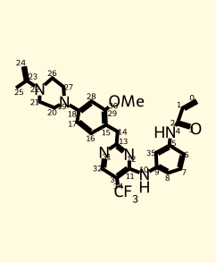 C=CC(=O)Nc1cccc(Nc2nc(Cc3ccc(N4CCN(C(=C)C)CC4)cc3OC)ncc2C(F)(F)F)c1